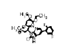 CCOc1nc(C(CS(C)(=O)=O)n2c(=O)[nH]c3cc(-c4cc(F)ccc4F)cnc32)ccc1OC